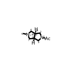 CC(=O)N1C[C@H]2CN(C)C[C@H]2C1